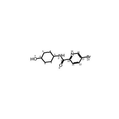 O=C(NC1CCC(O)CC1)c1ccc(Br)cn1